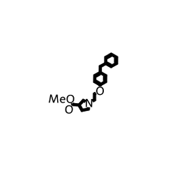 COC(=O)C1CCN(CCOc2ccc(Cc3ccccc3)cc2)C1